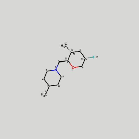 CC1CCN(C[C@@H]2OC[C@@H](F)C[C@H]2C)CC1